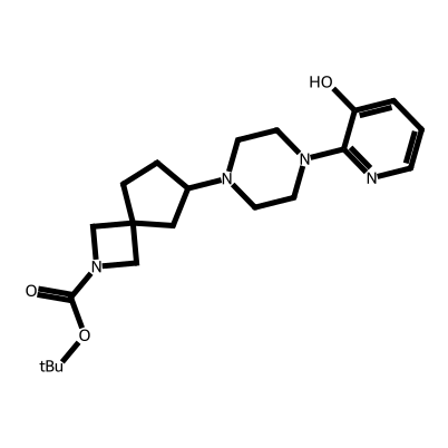 CC(C)(C)OC(=O)N1CC2(CCC(N3CCN(c4ncccc4O)CC3)C2)C1